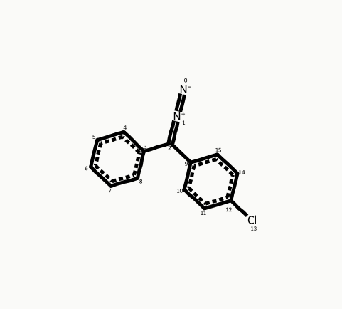 [N-]=[N+]=C(c1ccccc1)c1ccc(Cl)cc1